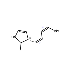 CCC/C=C\C=C/[C@H]1C=CNC1C